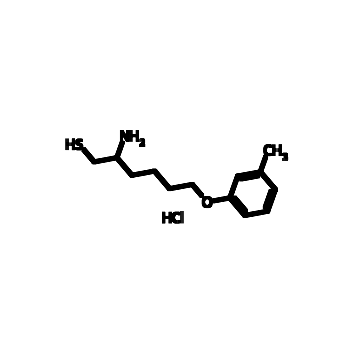 Cc1cccc(OCCCCC(N)CS)c1.Cl